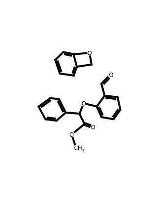 COC(=O)C(Oc1ccccc1C=O)c1ccccc1.c1ccc2c(c1)CO2